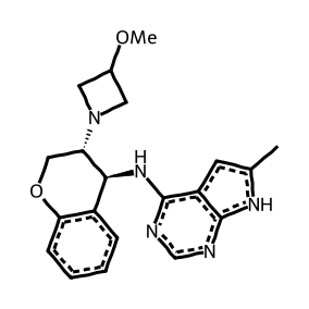 COC1CN([C@H]2COc3ccccc3[C@@H]2Nc2ncnc3[nH]c(C)cc23)C1